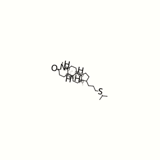 CC(C)SCCCC1CC[C@H]2[C@@H]3CC[C@H]4N(C)C(=O)CC[C@]4(C)[C@H]3CC[C@]12C